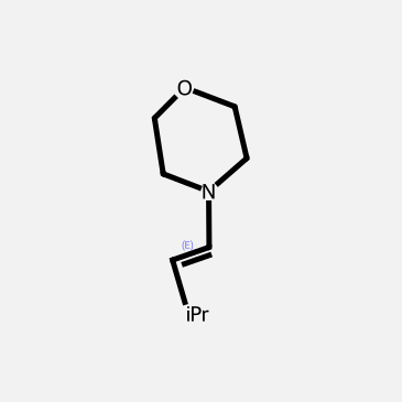 CC(C)/C=C/N1CCOCC1